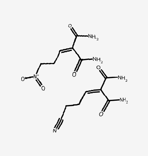 N#CCCC=C(C(N)=O)C(N)=O.NC(=O)C(=CCC[N+](=O)[O-])C(N)=O